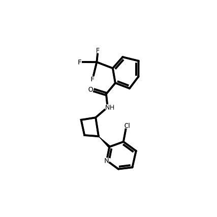 O=C(NC1CC[C@@H]1c1ncccc1Cl)c1ccccc1C(F)(F)F